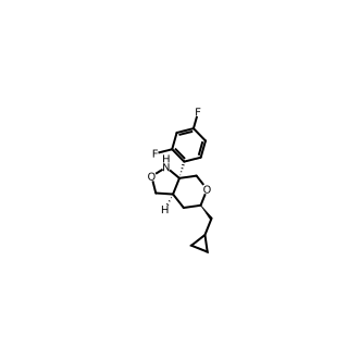 Fc1ccc([C@]23CO[C@@H](CC4CC4)C[C@H]2CON3)c(F)c1